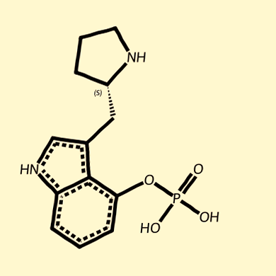 O=P(O)(O)Oc1cccc2[nH]cc(C[C@@H]3CCCN3)c12